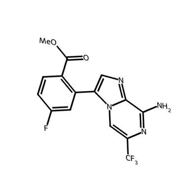 COC(=O)c1ccc(F)cc1-c1cnc2c(N)nc(C(F)(F)F)cn12